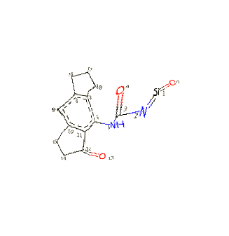 O=[Si]=NC(=O)Nc1c2c(cc3c1C(=O)CC3)CCC2